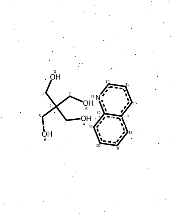 OCC(CO)(CO)CO.c1ccc2ncccc2c1